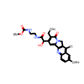 CCc1c2c(nc3ccc(OC)cc13)-c1cc(C(O)C(=O)NCCNC(=O)OC(C)(C)C)c(COC(C)=O)c(=O)n1C2